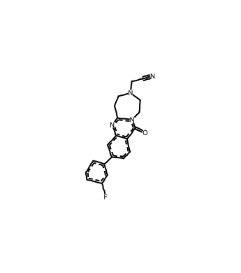 N#CCN1CCc2nc3cc(-c4cccc(F)c4)ccc3c(=O)n2CC1